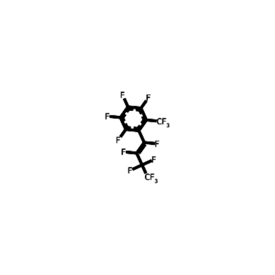 FC(=C(F)C(F)(F)C(F)(F)F)c1c(F)c(F)c(F)c(F)c1C(F)(F)F